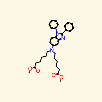 COC(=O)CCCCCN(CCCCCC(=O)OC)c1ccc2c(c1)nc(-c1ccccc1)n2-c1ccccc1